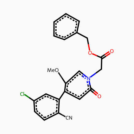 COc1cn(CC(=O)OCc2ccccc2)c(=O)cc1-c1cc(Cl)ccc1C#N